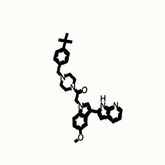 COc1ccc2c(c1)c(-c1cc3cccnc3[nH]1)cn2CC(=O)N1CCN(Cc2ccc(C(C)(C)C)cc2)CC1